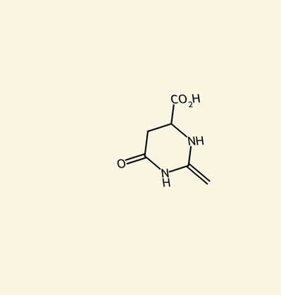 C=C1NC(=O)CC(C(=O)O)N1